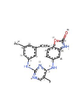 COc1cc(Nc2ncc(C)c(Nc3ccc4oc(=O)[nH]c4c3)n2)cc(C(C)=O)c1